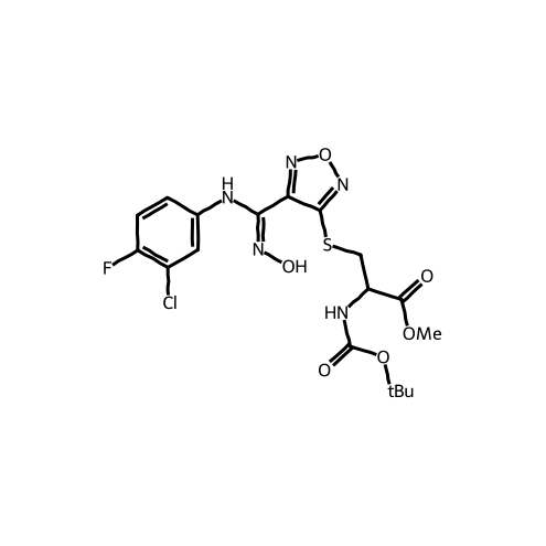 COC(=O)C(CSc1nonc1C(=NO)Nc1ccc(F)c(Cl)c1)NC(=O)OC(C)(C)C